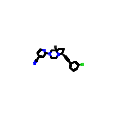 N#Cc1ccnc(N2CCN3[C@@H](CC[C@H]3C#Cc3cccc(Cl)c3)C2)c1